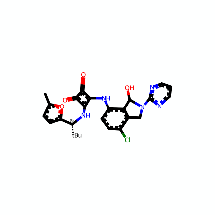 Cc1ccc([C@H](Nc2c(Nc3ccc(Cl)c4c3C(O)N(c3ncccn3)C4)c(=O)c2=O)C(C)(C)C)o1